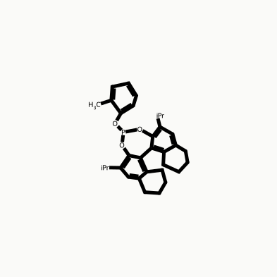 Cc1ccccc1Op1oc2c(C(C)C)cc3c(c2c2c4c(cc(C(C)C)c2o1)CCCC4)CCCC3